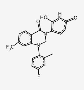 Cc1cc(F)ccc1N1CN(c2ccc(=O)[nH]c2O)C(=O)c2ccc(C(F)(F)F)cc21